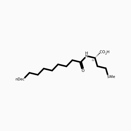 CCCCCCCCCCCCCCCCCC(=O)N[C@@H](CCSC)C(=O)O